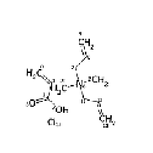 C=CC(=O)O.C=CC[N+](C)(C)CC=C.[Cl-]